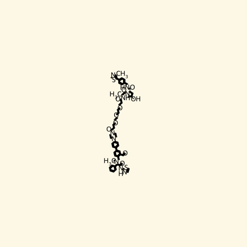 Cc1ncsc1-c1ccc(CNC(=O)[C@@H]2C[C@@H](O)CN2C(=O)[C@H](C)NC(=O)CCOCCOCCOCCC(=O)N2CCN(c3ccc(-c4ccc(CN(C)C(C(=O)Nc5nccs5)c5ccccc5)c(C=O)c4)cc3)CC2)cc1